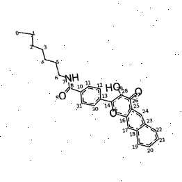 CCCCCCCNC(=O)c1ccc(-c2oc3cc4ccccc4cc3c(=O)c2O)cc1